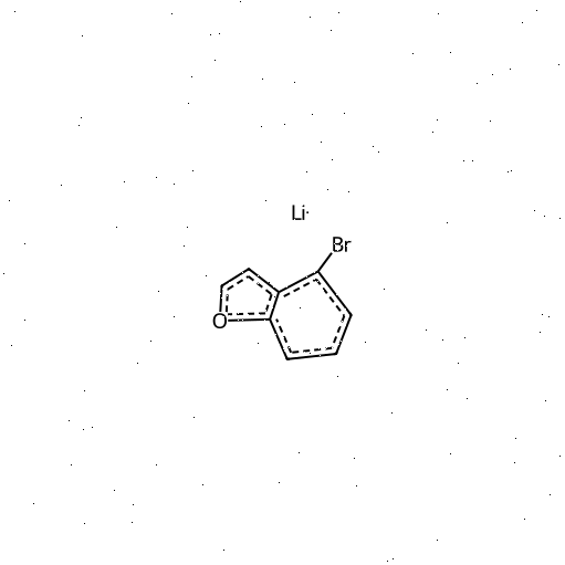 Brc1cccc2occc12.[Li]